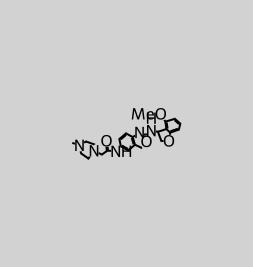 COc1cccc2c1C(NC1=Nc3ccc(NC(=O)CN4CCN(C)CC4)cc3CO1)CO2